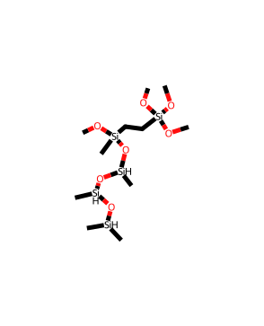 CO[Si](C)(CC[Si](OC)(OC)OC)O[SiH](C)O[SiH](C)O[SiH](C)C